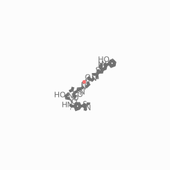 Cc1ncsc1-c1ccc([C@H](C)NC(=O)[C@@H]2C[C@@H](O)CN2C(=O)[C@@H](c2cc(N3CCN(C(=O)CN4CC(c5cc6cc(-c7ccccc7O)nnc6s5)C4)CC3)no2)C(C)C)cc1